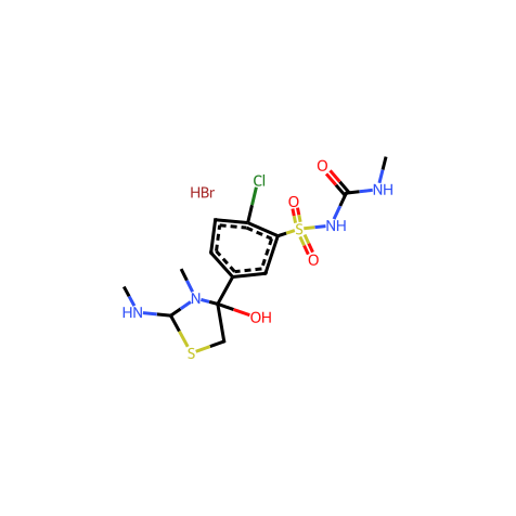 Br.CNC(=O)NS(=O)(=O)c1cc(C2(O)CSC(NC)N2C)ccc1Cl